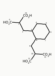 O=C(O)C(CC1CCCCC1CC(C(=O)O)C(=O)O)C(=O)O